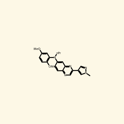 CCCN(c1ccc2ncc(-c3cnn(C)c3)nc2c1)c1cc(OC)ccc1OC